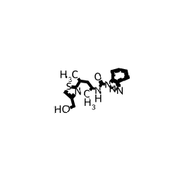 CC(CC(C)c1nc(CO)cs1)NC(=O)n1nnc2ccccc21